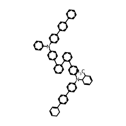 CC1C=CC=CC1N(c1ccc(-c2ccc(C3=CC=CCC3)cc2)cc1)c1ccc(-c2ccccc2-c2ccccc2-c2ccc(N(c3ccccc3)c3ccc(-c4ccc(-c5ccccc5)cc4)cc3)cc2)cc1